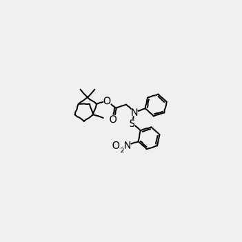 CC12CCC(C1)C(C)(C)C2OC(=O)CN(Sc1ccccc1[N+](=O)[O-])c1ccccc1